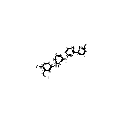 Cc1cccc(-c2nccc(Nc3ccnc(Nc4ccc(Cl)c(CO)c4)n3)n2)n1